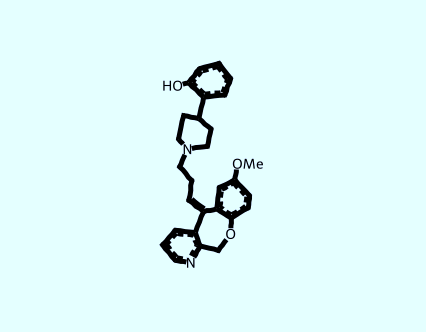 COc1ccc2c(c1)C(=CCCN1CCC(c3ccccc3O)CC1)c1cccnc1CO2